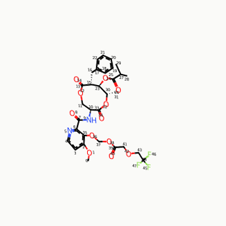 COc1ccnc(C(=O)N[C@H]2COC(=O)[C@H](Cc3ccccc3)[C@@H](OC(=O)C(C)C)[C@H](C)OC2=O)c1OCOC(=O)COCC(F)(F)F